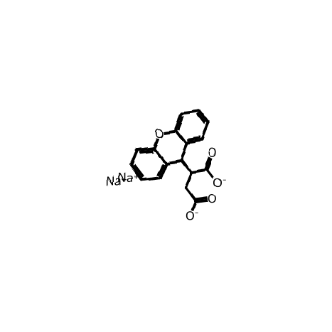 O=C([O-])CC(C(=O)[O-])C1c2ccccc2Oc2ccccc21.[Na+].[Na+]